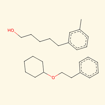 Cc1cccc(CCCCCO)c1.c1ccc(CCOC2CCCCC2)cc1